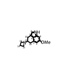 COc1cc2c3c(c[nH]c3c1)CC(N1CCC1)C2